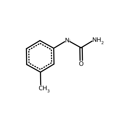 Cc1cccc([N]C(N)=O)c1